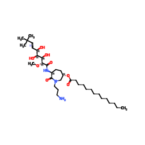 CCCCCCCCCCCCCC(=O)O[C@H]1CC[C@H](NC(=O)[C@H](OC)[C@H](O)[C@@H](O)[C@H](O)/C=C/C(C)(C)C)C(=O)N(CCCN)C1